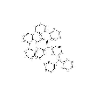 c1ccc(-c2ccccc2-c2c3ccccc3c(-c3cccc(N(c4ccccc4)c4ccccc4)c3)c3c4ccccc4c4ccccc4c23)cc1